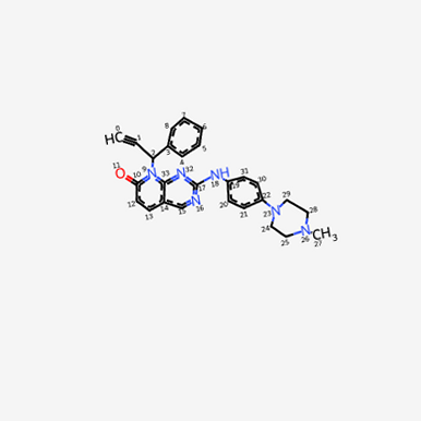 C#CC(c1ccccc1)n1c(=O)ccc2cnc(Nc3ccc(N4CCN(C)CC4)cc3)nc21